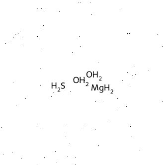 O.O.S.[MgH2]